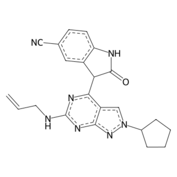 C=CCNc1nc(C2C(=O)Nc3ccc(C#N)cc32)c2cn(C3CCCC3)nc2n1